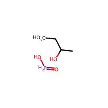 CC(O)CC(=O)O.O=[PH2]O